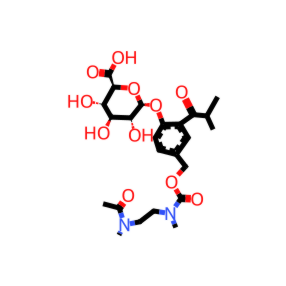 CC(=O)N(C)CCN(C)C(=O)OCc1ccc(O[C@@H]2O[C@H](C(=O)O)[C@@H](O)[C@H](O)[C@H]2O)c(C(=O)C(C)C)c1